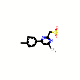 Cc1ccc(-c2cc(C(F)(F)F)nc(C[SH](=O)=O)n2)cc1